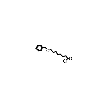 O=C(Cl)CCCCCCCOCc1ccccc1